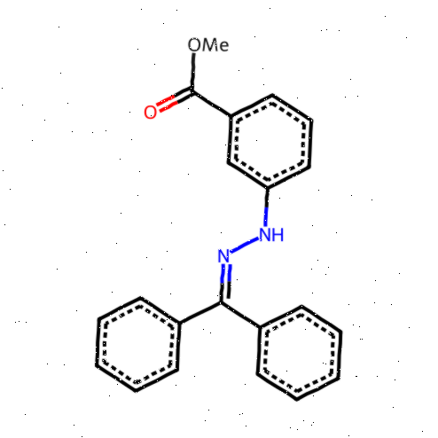 COC(=O)c1cccc(NN=C(c2ccccc2)c2ccccc2)c1